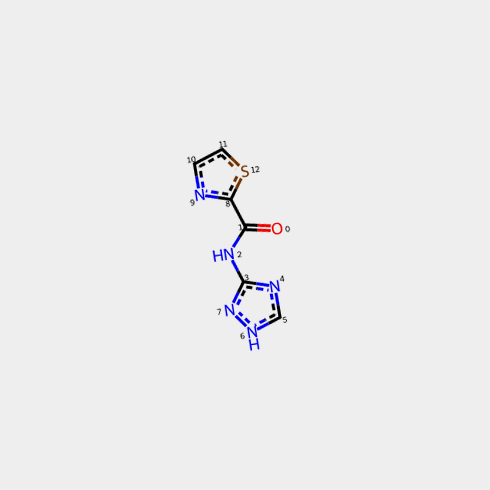 O=C(Nc1nc[nH]n1)c1nccs1